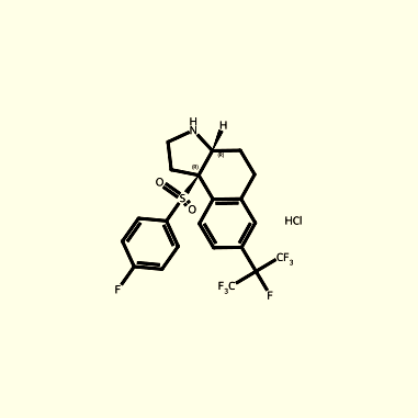 Cl.O=S(=O)(c1ccc(F)cc1)[C@@]12CCN[C@@H]1CCc1cc(C(F)(C(F)(F)F)C(F)(F)F)ccc12